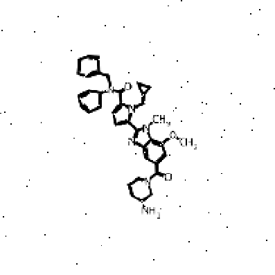 COc1cc(C(=O)N2CCC[C@@H](N)C2)cc2nc(-c3ccc(C(=O)N(Cc4ccccc4)c4ccccc4)n3CC3CC3)n(C)c12